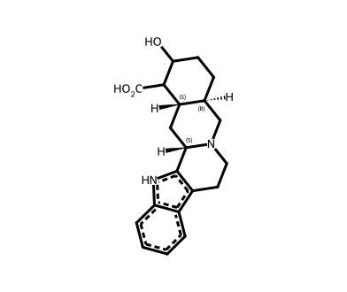 O=C(O)C1C(O)CC[C@H]2CN3CCc4c([nH]c5ccccc45)[C@@H]3C[C@H]12